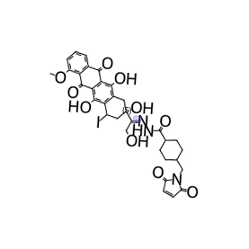 COc1cccc2c1C(=O)c1c(O)c3c(c(O)c1C2=O)C[C@@](O)(/C(CO)=N/NC(=O)C1CCC(CN2C(=O)C=CC2=O)CC1)CC3I